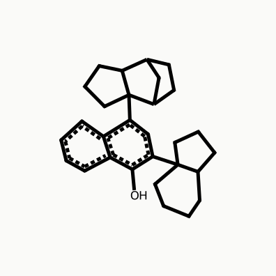 Oc1c(C23CCCCC2CCC3)cc(C23CCCC2C2CCC3C2)c2ccccc12